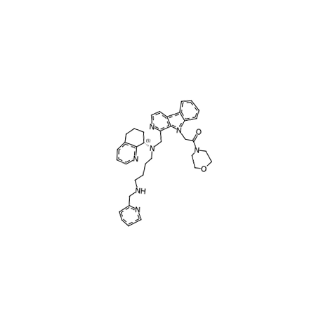 O=C(Cn1c2ccccc2c2ccnc(CN(CCCCNCc3ccccn3)[C@H]3CCCc4cccnc43)c21)N1CCOCC1